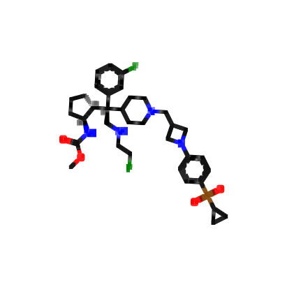 COC(=O)N[C@H]1CCC[C@@H]1[C@](CNCCF)(c1cccc(F)c1)C1CCN(CC2CN(c3ccc(S(=O)(=O)C4CC4)cc3)C2)CC1